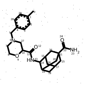 Cc1ccc(CN2CCOC(C(=O)NC3C4CC5CC3CC(C(N)=O)(C5)C4)C2)cc1